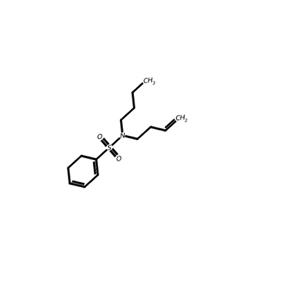 C=CCCN(CCCC)S(=O)(=O)C1=CC=CCC1